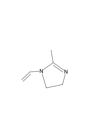 C=CN1CCN=C1C